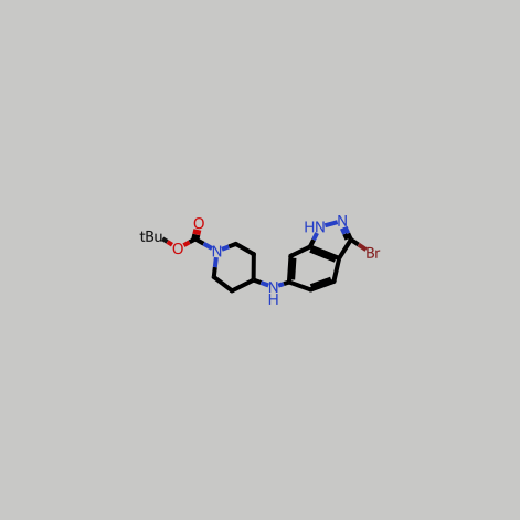 CC(C)(C)OC(=O)N1CCC(Nc2ccc3c(Br)n[nH]c3c2)CC1